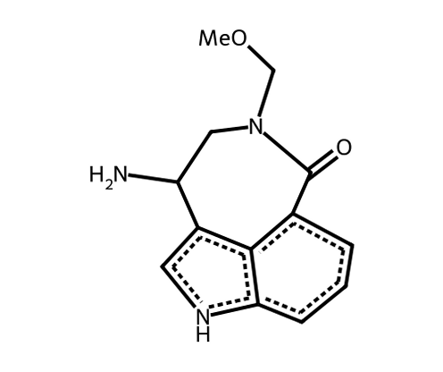 COCN1CC(N)c2c[nH]c3cccc(c23)C1=O